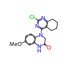 COc1ccc2c(c1)NC(=O)CN2c1nc(Cl)nc2c1CCCC2